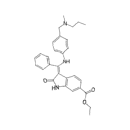 CCCN(C)Cc1ccc(N/C(=C2/C(=O)Nc3cc(C(=O)OCC)ccc32)c2ccccc2)cc1